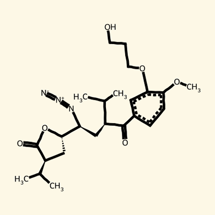 COc1ccc(C(=O)[C@@H](C[C@H](N=[N+]=[N-])[C@@H]2C[C@@H](C(C)C)C(=O)O2)C(C)C)cc1OCCCO